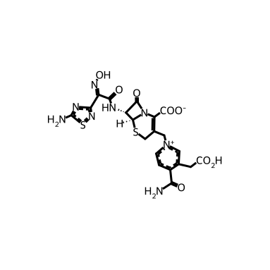 NC(=O)c1cc[n+](CC2=C(C(=O)[O-])N3C(=O)[C@@H](NC(=O)/C(=N\O)c4nsc(N)n4)[C@@H]3SC2)cc1CC(=O)O